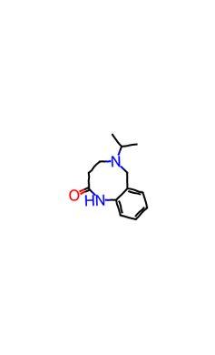 CC(C)N1CCC(=O)Nc2ccccc2C1